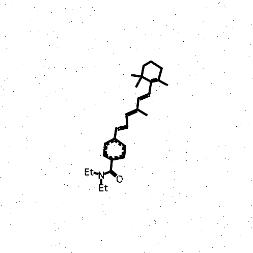 CCN(CC)C(=O)c1ccc(/C=C/C=C(C)/C=C/C2=C(C)CCCC2(C)C)cc1